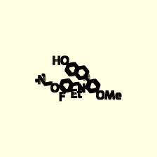 CCN(Cc1ccc(OCCN(C)C)c(F)c1)c1cc(OC)ccc1[C@@H]1CCc2cc(O)ccc2C1